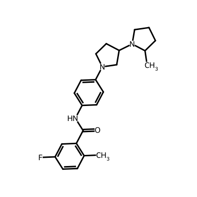 Cc1ccc(F)cc1C(=O)Nc1ccc(N2CCC(N3CCCC3C)C2)cc1